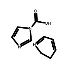 C1=CCCN=C1.O=C(O)n1ccnc1